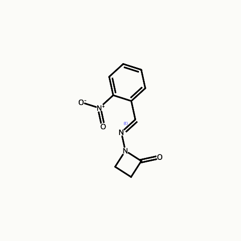 O=C1CCN1/N=C/c1ccccc1[N+](=O)[O-]